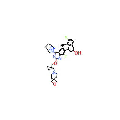 C#Cc1c(F)ccc2cc(O)cc(-c3c(C)cc4c(N5CC6CCC(C5)N6)nc(OCC5(CN6CCC7(CC6)COC7)CC5)nc4c3F)c12